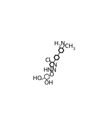 CC(N)c1ccc(-c2ccc(-c3nc4nc(O[C@H]5CC[C@H](CO)[C@@H](O)C5)[nH]c4cc3Cl)cc2)cc1